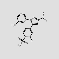 Cc1cncc(-n2nc(C(F)F)cc2-c2ccc(S(C)(=O)=O)c(F)c2)c1